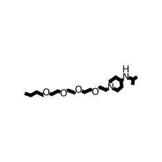 CCCCOCCOCCOCCOCCN1CCC(NC(C)C)CC1